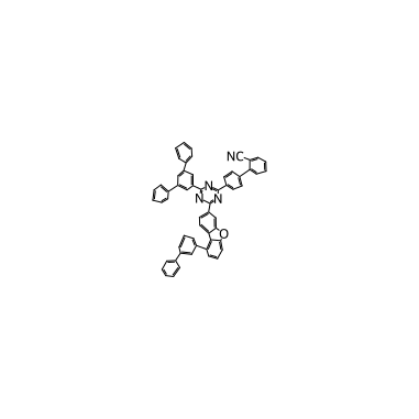 N#Cc1ccccc1-c1ccc(-c2nc(-c3cc(-c4ccccc4)cc(-c4ccccc4)c3)nc(-c3ccc4c(c3)oc3cccc(-c5cccc(-c6ccccc6)c5)c34)n2)cc1